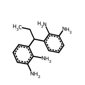 CCC(c1cccc(N)c1N)c1cccc(N)c1N